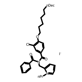 CCCCCCCCCCCCCCCCOc1ccc(C(=O)N(Cc2cccc[n+]2CCC)C(=O)c2ccccc2)cc1Cl.[I-]